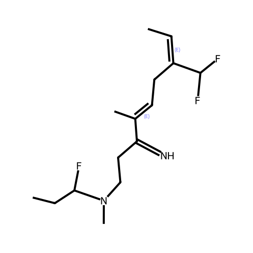 C/C=C(\C/C=C(\C)C(=N)CCN(C)C(F)CC)C(F)F